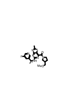 COCC1CCN(C(=O)c2nc(N[C@@H](C)c3cncc(F)c3)nc3nc(C)sc23)C1